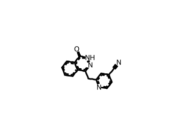 N#Cc1ccnc(Cc2n[nH]c(=O)c3ccccc23)c1